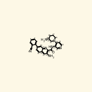 N#Cc1ccccc1-c1ccc2cc(N)c(C(=O)Nc3cnccc3N3CCC[C@H](N)C3)nc2c1